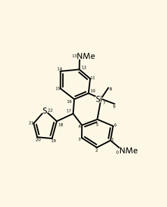 CNc1ccc2c(c1)[Si](C)(C)c1cc(NC)ccc1C2c1cccs1